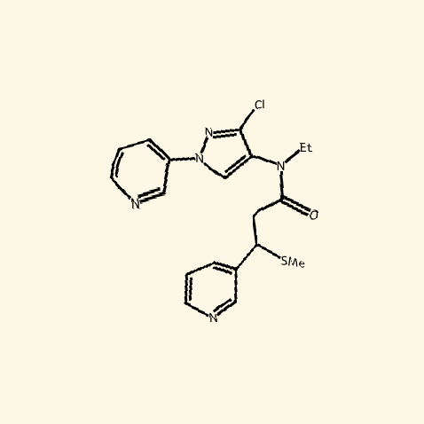 CCN(C(=O)CC(SC)c1cccnc1)c1cn(-c2cccnc2)nc1Cl